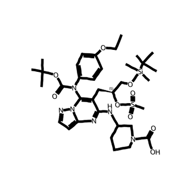 CCOc1ccc(N(C(=O)OC(C)(C)C)c2c(C[C@@H](CO[Si](C)(C)C(C)(C)C)OS(C)(=O)=O)c(NC3CCCN(C(=O)O)C3)nc3ccnn23)cc1